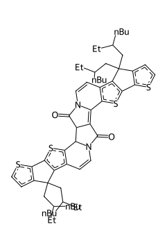 CCCCC(CC)CC1(CC(CC)CCCC)c2ccsc2-c2sc3c(c21)C=CN1C(=O)C2C(=C31)C(=O)N1C=Cc3c(sc4c3C(CC(CC)CCCC)(CC(CC)CCCC)c3ccsc3-4)C21